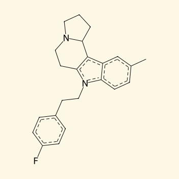 Cc1ccc2c(c1)c1c(n2CCc2ccc(F)cc2)CCN2CCCC12